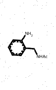 CC(=O)NCc1ccccc1N